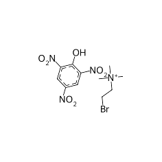 C[N+](C)(C)CCBr.O=[N+]([O-])c1cc([N+](=O)[O-])c(O)c([N+](=O)[O-])c1